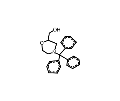 OCC1CN(C(c2ccccc2)(c2ccccc2)c2ccccc2)CCO1